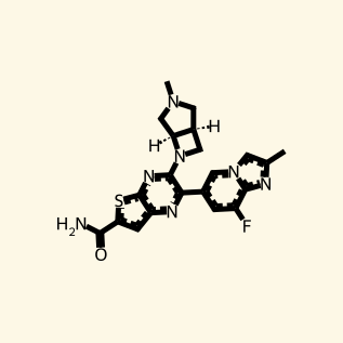 Cc1cn2cc(-c3nc4cc(C(N)=O)sc4nc3N3C[C@@H]4CN(C)C[C@@H]43)cc(F)c2n1